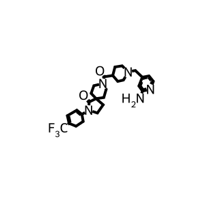 Nc1cc(CN2CCC(C(=O)N3CCC4(CC3)CCN(C3=CC=C(C(F)(F)F)CC3)C4=O)CC2)ccn1